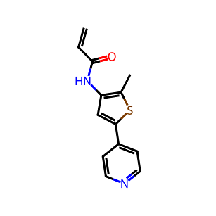 C=CC(=O)Nc1cc(-c2ccncc2)sc1C